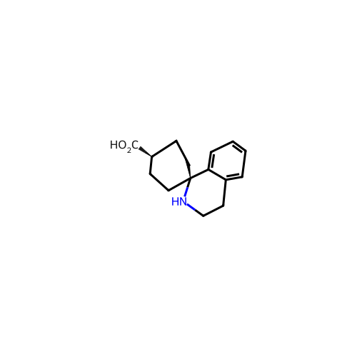 O=C(O)[C@H]1CC[C@]2(CC1)NCCc1ccccc12